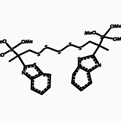 CO[Si](OC)(OC)C(C)(CSSSSSCC(C)(c1nc2ccccc2s1)[Si](OC)(OC)OC)c1nc2ccccc2s1